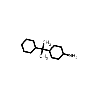 CC(C)(C1CCCCC1)C1CCC(N)CC1